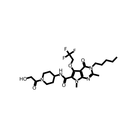 CCCCCn1c(C)nc2c(c(OCC(F)(F)F)c(C(=O)NC3CCN(C(=O)CO)CC3)n2C)c1=O